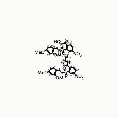 COc1ccc(CNS(=O)(=O)c2cc([N+](=O)[O-])ccc2-c2noc(C(F)(F)F)n2)c(OC)c1.COc1ccc(CNS(=O)(=O)c2cc([N+](=O)[O-])ccc2C(N)=NO)c(OC)c1